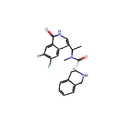 CC(c1c[nH]c(=O)c2cc(F)c(F)cc12)N(C)C(=O)[C@H]1Cc2ccccc2CN1